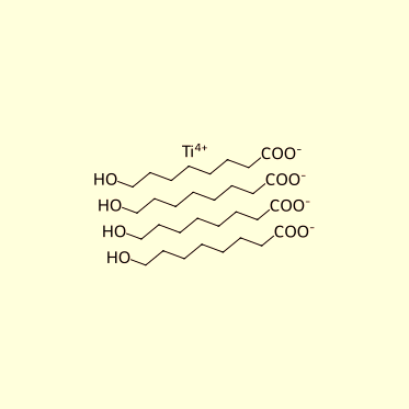 O=C([O-])CCCCCCCO.O=C([O-])CCCCCCCO.O=C([O-])CCCCCCCO.O=C([O-])CCCCCCCO.[Ti+4]